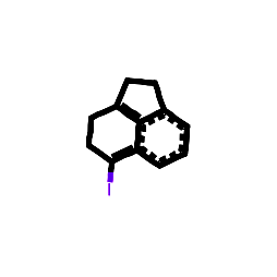 IC1=c2cccc3c2=C(CC1)CC3